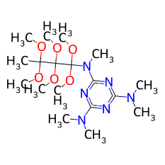 COC(C)(OC)C(OC)(OC)C(OC)(OC)N(C)c1nc(N(C)C)nc(N(C)C)n1